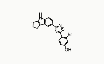 Oc1ccc(-c2nc(-c3ccc4[nH]c5c(c4c3)CC[CH]5)no2)c(Br)c1